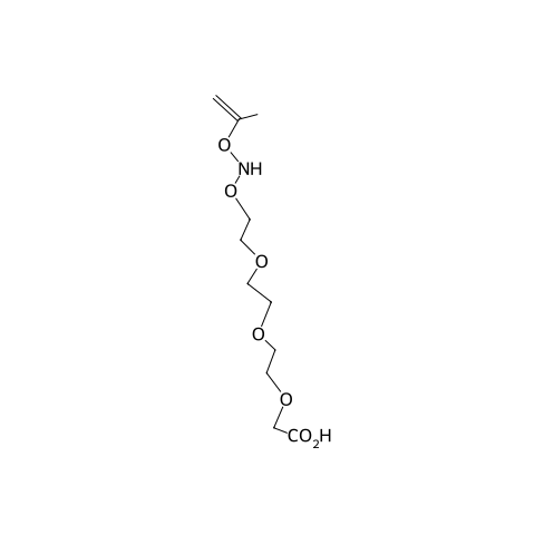 C=C(C)ONOCCOCCOCCOCC(=O)O